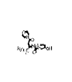 O=C(O)[C@@H](CC(=O)N1CCOCC1)NC(=O)N1CC[C@H](O)C1